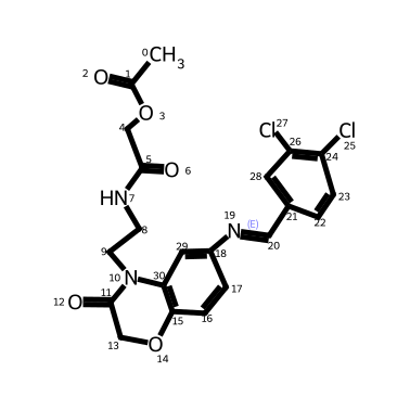 CC(=O)OCC(=O)NCCN1C(=O)COc2ccc(/N=C/c3ccc(Cl)c(Cl)c3)cc21